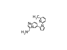 Cc1cccc(-n2cccc2-c2ccc3ncc(CN)n3c2)n1